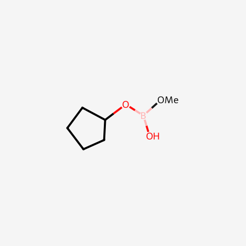 COB(O)OC1CCCC1